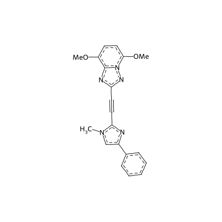 COc1ccc(OC)n2nc(C#Cc3nc(-c4ccccc4)cn3C)nc12